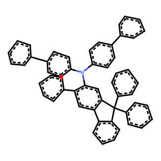 c1ccc(-c2ccc(N(c3ccc(-c4ccccc4)cc3)c3cc4c(cc3-c3ccccc3)-c3ccccc3C4(c3ccccc3)c3ccccc3)cc2)cc1